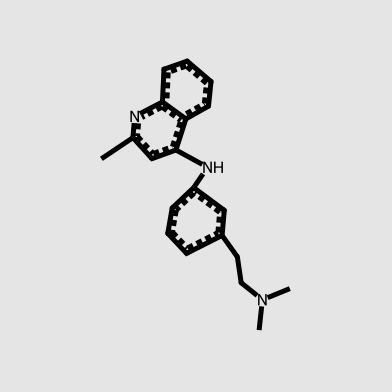 Cc1cc(Nc2cccc(CCN(C)C)c2)c2ccccc2n1